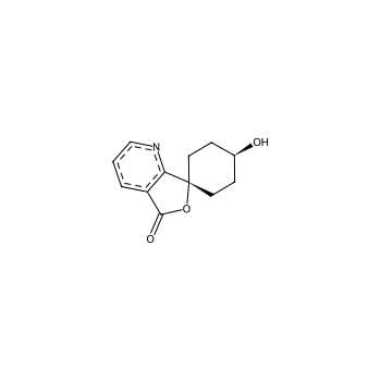 O=C1O[C@]2(CC[C@H](O)CC2)c2ncccc21